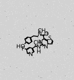 C[C@H](Nc1nc(C(=O)N(C)CCc2ccc(O)cc2)c2sccc2n1)c1cncc(F)c1